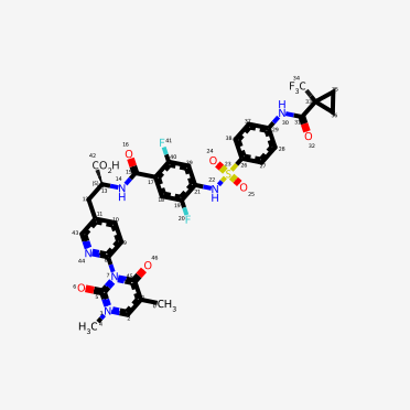 Cc1cn(C)c(=O)n(-c2ccc(C[C@H](NC(=O)c3cc(F)c(NS(=O)(=O)c4ccc(NC(=O)C5(C(F)(F)F)CC5)cc4)cc3F)C(=O)O)cn2)c1=O